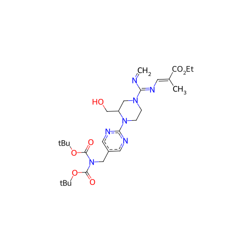 C=N/C(=N\C=C(/C)C(=O)OCC)N1CCN(c2ncc(CN(C(=O)OC(C)(C)C)C(=O)OC(C)(C)C)cn2)C(CO)C1